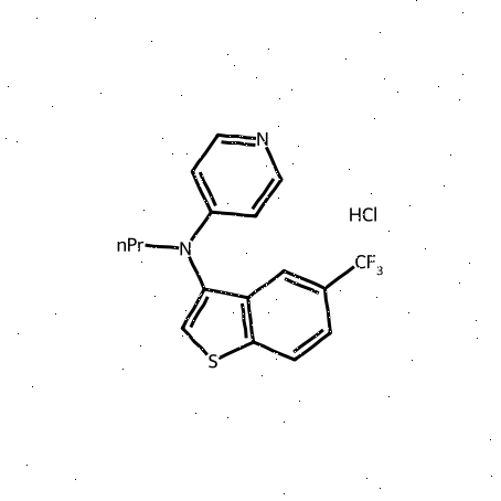 CCCN(c1ccncc1)c1csc2ccc(C(F)(F)F)cc12.Cl